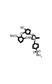 C=C1C[C@H](c2ccc(C#N)c(Oc3c(OC)cccc3OC)c2)CN1c1ccc(S(N)(=O)=O)cc1